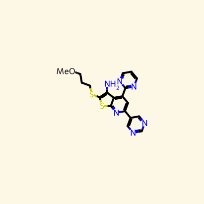 COCCCSc1sc2nc(-c3cncnc3)cc(-c3ncccn3)c2c1N